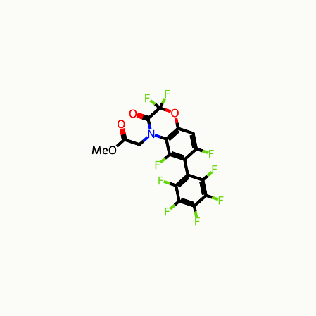 COC(=O)CN1C(=O)C(F)(F)Oc2cc(F)c(-c3c(F)c(F)c(F)c(F)c3F)c(F)c21